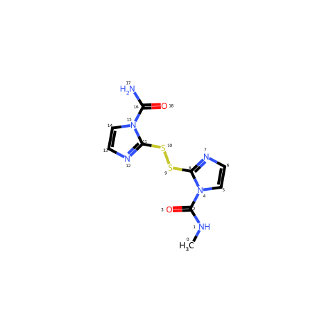 CNC(=O)n1ccnc1SSc1nccn1C(N)=O